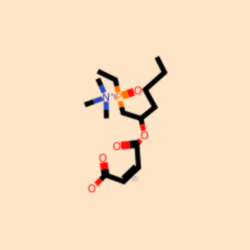 CCCCC(CP(=O)(CC)[N+](C)(C)C)OC(=O)/C=C\C(=O)[O-]